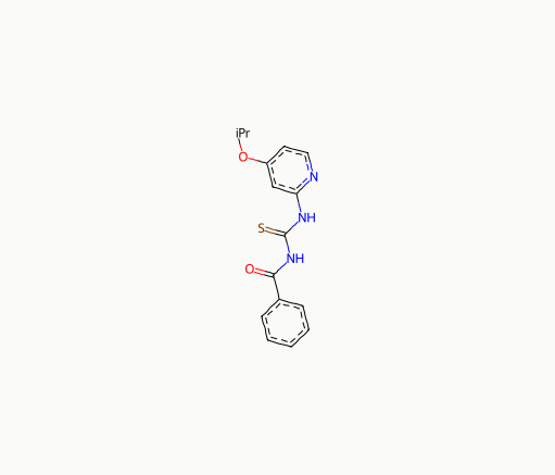 CC(C)Oc1ccnc(NC(=S)NC(=O)c2ccccc2)c1